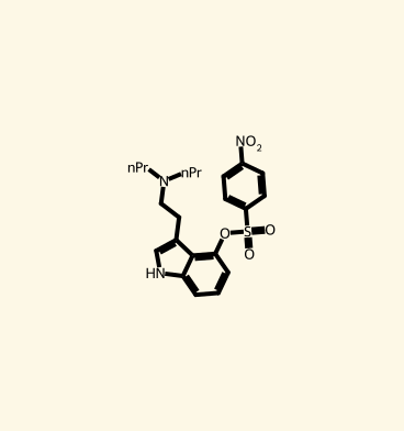 CCCN(CCC)CCc1c[nH]c2cccc(OS(=O)(=O)c3ccc([N+](=O)[O-])cc3)c12